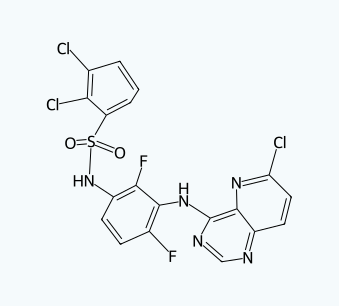 O=S(=O)(Nc1ccc(F)c(Nc2ncnc3ccc(Cl)nc23)c1F)c1cccc(Cl)c1Cl